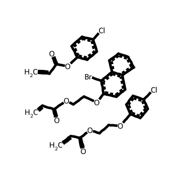 C=CC(=O)OCCOc1ccc(Cl)cc1.C=CC(=O)OCCOc1ccc2ccccc2c1Br.C=CC(=O)Oc1ccc(Cl)cc1